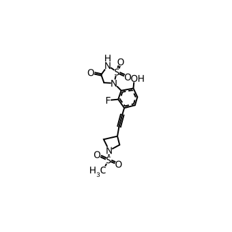 CS(=O)(=O)N1CC(C#Cc2ccc(O)c(N3CC(=O)NS3(=O)=O)c2F)C1